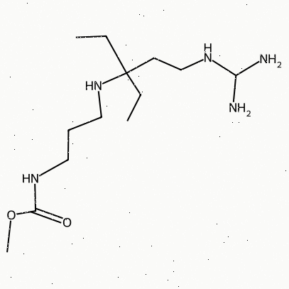 CCC(CC)(CCNC(N)N)NCCCNC(=O)OC